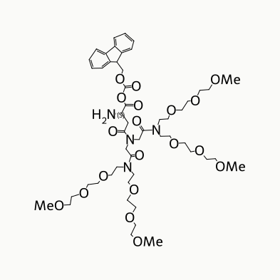 COCCOCCOCCN(CCOCCOCCOC)C(=O)CN(CC(=O)N(CCOCCOCCOC)CCOCCOCCOC)C(=O)C[C@H](N)C(=O)OC(=O)OCC1c2ccccc2-c2ccccc21